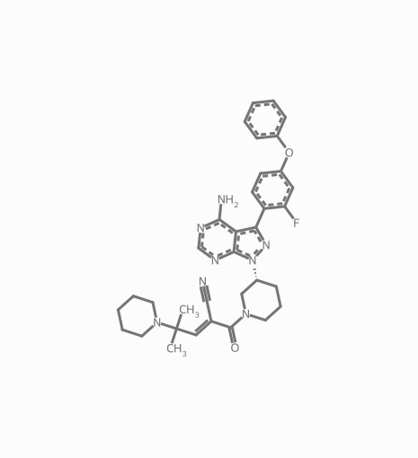 CC(C)(C=C(C#N)C(=O)N1CCC[C@@H](n2nc(-c3ccc(Oc4ccccc4)cc3F)c3c(N)ncnc32)C1)N1CCCCC1